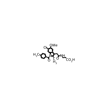 COc1cc2c(CC(=O)NCCC(=O)O)c(C)n(C(=O)c3ccc(C)cc3)c2cc1Cl